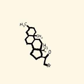 CC1CCC2(C)C(CCC3C2CC[C@@]2(C)C3CC[C@@H]2C(=O)CBr)C1